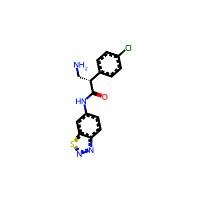 NC[C@@H](C(=O)Nc1ccc2nnsc2c1)c1ccc(Cl)cc1